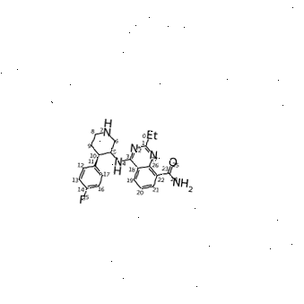 CCc1nc(NC2CNCC[C@@H]2c2ccc(F)cc2)c2cccc(C(N)=O)c2n1